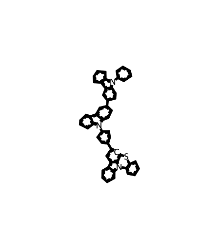 c1ccc(-n2c3ccccc3c3cc(-c4ccc5c(c4)c4ccccc4n5-c4ccc(-c5cc6c7c(c5)c5ccccc5n7-c5ccccc5S6)cc4)ccc32)cc1